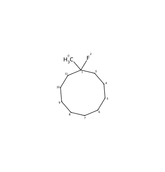 CC1(F)CCCCCCCCC1